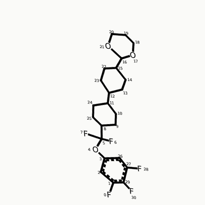 Fc1cc(OC(F)(F)C2CCC(C3CCC(C4OCCCO4)CC3)CC2)cc(F)c1F